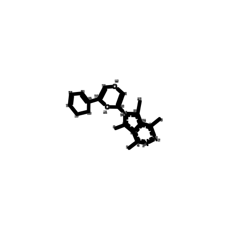 Cc1nnc(C)c2c(C)n(C3=COC=C(C4=CC=CCC4)O3)c(C)c12